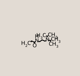 C=CC(=O)NCCCN(C(C)C)C(C)C